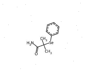 CC(C)([Se]c1ccccc1)C(N)=O